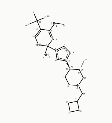 CNC1=NC(N)(c2cnn([C@@H]3CCN(CC4CCC4)C[C@H]3F)c2)NC=C1C(F)(F)F